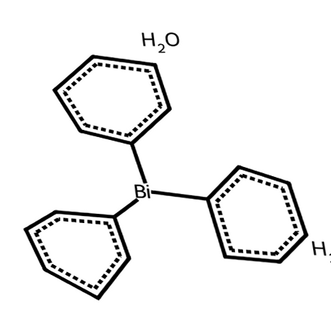 O.O.c1cc[c]([Bi]([c]2ccccc2)[c]2ccccc2)cc1